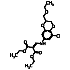 CCOCC1COc2c(Cl)cc(NC=C(C(=O)OCC)C(=O)OCC)cc2O1